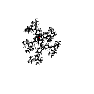 N#Cc1ccc(-n2c3ccc(-c4cc(C(F)(F)F)cc(C(F)(F)F)c4)cc3c3cc(-c4cc(C(F)(F)F)cc(C(F)(F)F)c4)ccc32)cc1-c1cc(-c2c(C(F)(F)F)cccc2C(F)(F)F)ccc1-n1c2ccc(-c3cc(C(F)(F)F)cc(C(F)(F)F)c3)cc2c2cc(-c3cc(C(F)(F)F)cc(C(F)(F)F)c3)ccc21